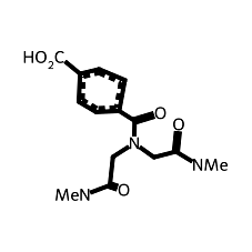 CNC(=O)CN(CC(=O)NC)C(=O)c1ccc(C(=O)O)cc1